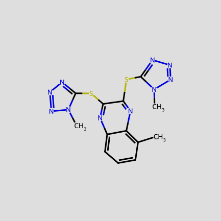 Cc1cccc2nc(Sc3nnnn3C)c(Sc3nnnn3C)nc12